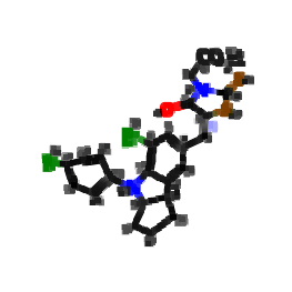 CCOC(=O)CN1C(=O)/C(=C\c2cc(Br)c3c(c2)C2CCCC2N3c2ccc(Br)cc2)SC1=S